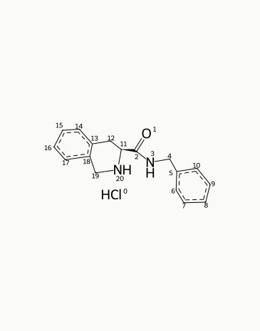 Cl.O=C(NCc1ccccc1)[C@@H]1Cc2ccccc2CN1